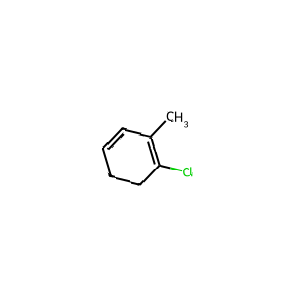 CC1=C(Cl)CCC=C1